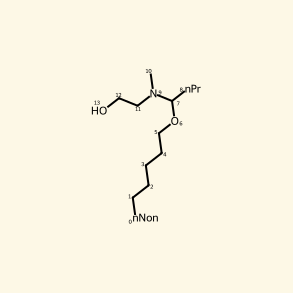 CCCCCCCCCCCCCCOC(CCC)N(C)CCO